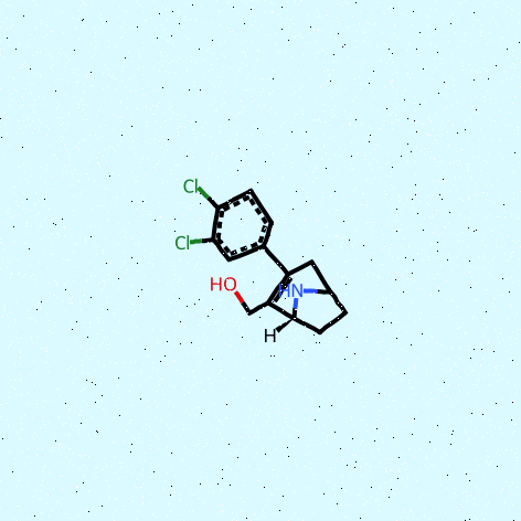 OCC1=C(c2ccc(Cl)c(Cl)c2)CC2CC[C@H]1N2